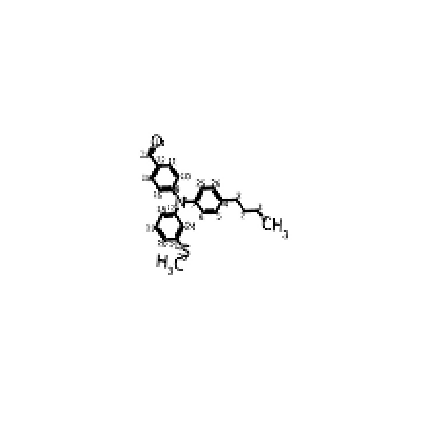 CCCCc1ccc(N(c2ccc(C=O)cc2)c2cccc(SC)c2)cc1